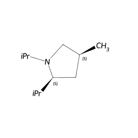 CC(C)[C@@H]1C[C@H](C)CN1C(C)C